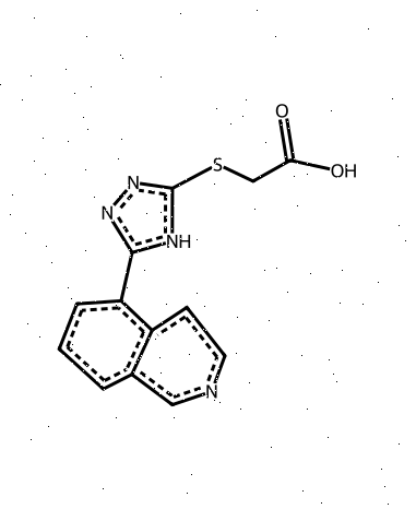 O=C(O)CSc1nnc(-c2cccc3cnccc23)[nH]1